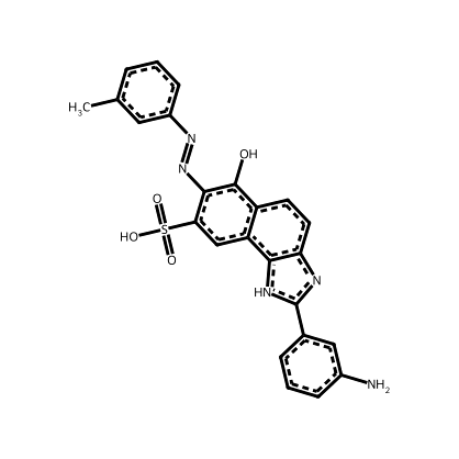 Cc1cccc(N=Nc2c(S(=O)(=O)O)cc3c(ccc4nc(-c5cccc(N)c5)[nH]c43)c2O)c1